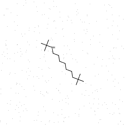 CC(C)(C)CCCCCCCNC(C)(C)C